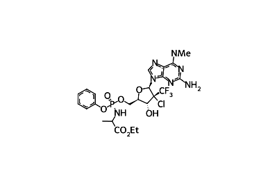 CCOC(=O)C(C)N[P@](=O)(OC[C@H]1O[C@@H](n2cnc3c(NC)nc(N)nc32)[C@@](Cl)(C(F)(F)F)[C@@H]1O)Oc1ccccc1